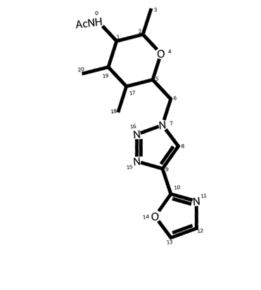 CC(=O)NC1C(C)OC(Cn2cc(-c3ncco3)nn2)C(C)C1C